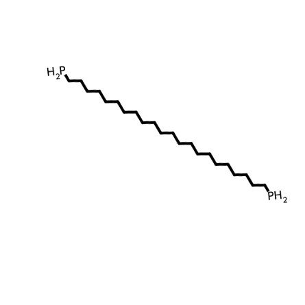 PCCCCCCCCCCCCCCCCCCCCCCP